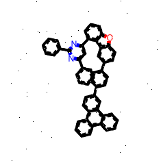 c1ccc(-c2cc(-c3cccc4oc5ccc(-c6ccc(-c7ccc8c9ccccc9c9ccccc9c8c7)cc6)cc5c34)nc(-c3ccccc3)n2)cc1